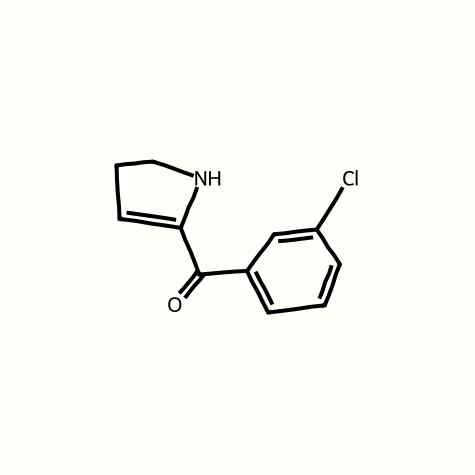 O=C(C1=CCCN1)c1cccc(Cl)c1